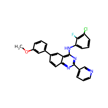 COc1cccc(-c2ccc3nc(-c4cccnc4)nc(Nc4cccc(Cl)c4F)c3c2)c1